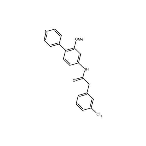 COc1cc(NC(=O)Cc2cccc(C(F)(F)F)c2)ccc1-c1ccncc1